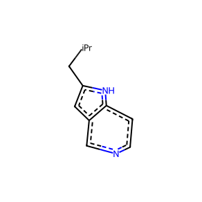 CC(C)Cc1cc2cnccc2[nH]1